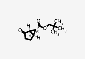 CC(C)(C)COC(=O)[C@@H]1[C@H]2CCC(=O)[C@H]21